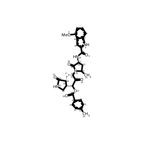 COc1cccc2[nH]c(C(=O)N[C@H]3CC(C)N([C@@H](C[C@@H]4CCNC4=O)C(=O)COC(=O)c4ccc(C)cc4)C3=O)cc12